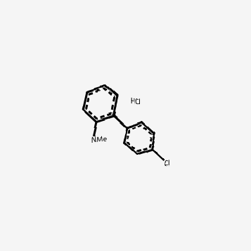 CNc1ccccc1-c1ccc(Cl)cc1.Cl